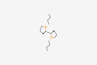 CCCC[P@@]1CCC[C@@H]1[C@H]1CCC[P@]1CCCC